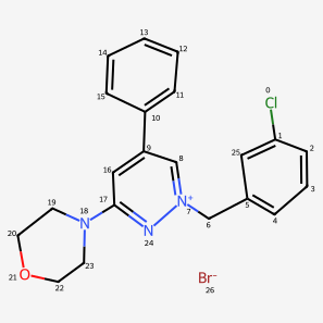 Clc1cccc(C[n+]2cc(-c3ccccc3)cc(N3CCOCC3)n2)c1.[Br-]